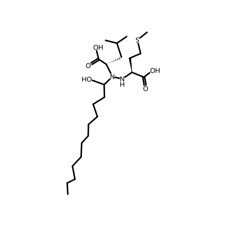 CCCCCCCCCCCC(O)N(N[C@@H](CCSC)C(=O)O)[C@@H](CC(C)C)C(=O)O